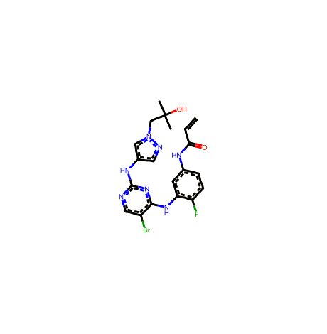 C=CC(=O)Nc1ccc(F)c(Nc2nc(Nc3cnn(CC(C)(C)O)c3)ncc2Br)c1